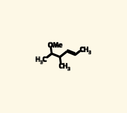 CC=CC(C)C(C)OC